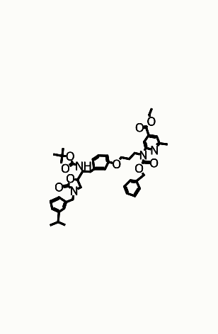 CCOC(=O)c1cc(C)nc(N(CCCOc2cccc(CC(NC(=O)OC(C)(C)C)C3CN(Cc4cccc(C(C)C)c4)C(=O)O3)c2)C(=O)OCc2ccccc2)c1